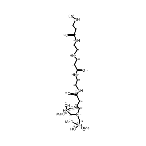 CCNCCC(=O)NCCNCCC(=O)NCCNC(=O)CCCN(C[PH](O)(OC)OC)C[PH](O)(OC)OC